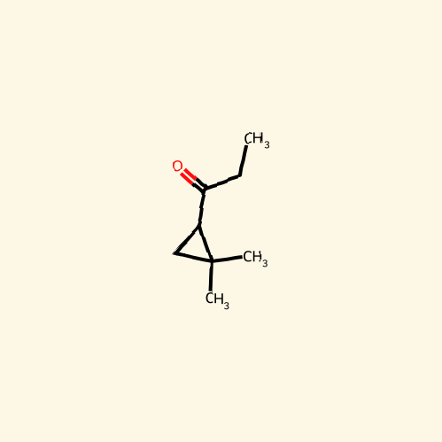 CCC(=O)C1CC1(C)C